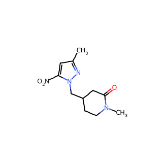 Cc1cc([N+](=O)[O-])n(CC2CCN(C)C(=O)C2)n1